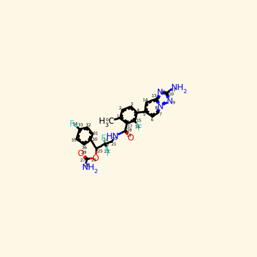 Cc1ccc(-c2ccn3nc(N)nc3c2)c(F)c1C(=O)NCC(F)(F)C(OC(N)=O)c1ccc(F)cc1